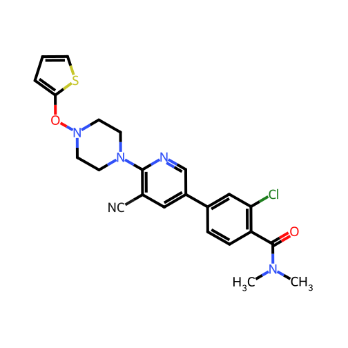 CN(C)C(=O)c1ccc(-c2cnc(N3CCN(Oc4cccs4)CC3)c(C#N)c2)cc1Cl